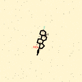 CC#C[C@]1(O)CCC2C3CC[C@H]4C[C@@H](F)CC[C@]4(C)C3CC[C@@]21C